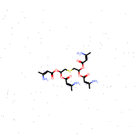 C/C(N)=C/C(=O)OC(CSCC(OC(=O)/C=C(/C)N)OC(=O)/C=C(/C)N)OC(=O)/C=C(/C)N